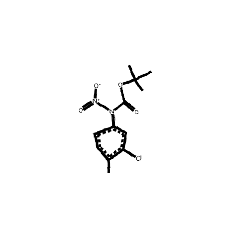 Cc1ccc(N(C(=O)OC(C)(C)C)[N+](=O)[O-])cc1Cl